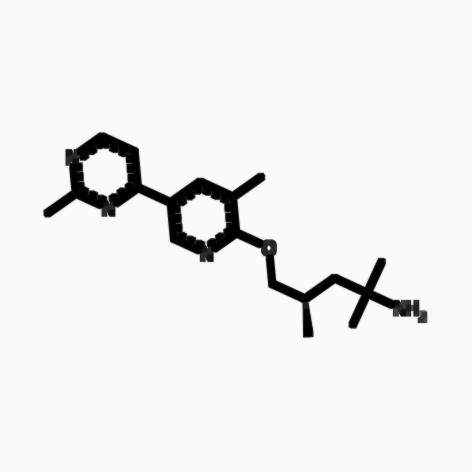 Cc1nccc(-c2cnc(OC[C@H](C)CC(C)(C)N)c(C)c2)n1